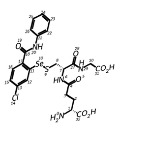 N[C@H](CCC(=O)N[C@H](CS[Se]c1cc(Cl)ccc1C(=O)Nc1ccccc1)C(=O)NCC(=O)O)C(=O)O